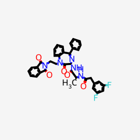 C[C@H](NC(=O)Cc1cc(F)cc(F)c1)C(=O)NC1N=C(c2ccccc2)c2ccccc2N(CCN2C(=O)c3ccccc3C2=O)C1=O